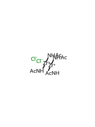 CC(=O)[NH][Zr+][NH]C(C)=O.CC(=O)[NH][Zr+][NH]C(C)=O.[Cl-].[Cl-]